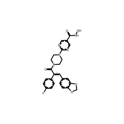 O=C(NO)c1cnc(N2CCN(C(=O)/C(=C/c3ccc4c(c3)OCO4)c3ccc(F)cc3)CC2)nc1